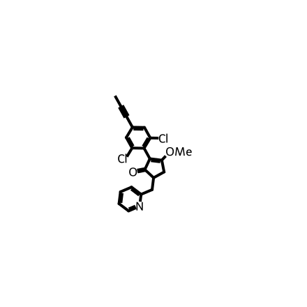 CC#Cc1cc(Cl)c(C2=C(OC)CC(Cc3ccccn3)C2=O)c(Cl)c1